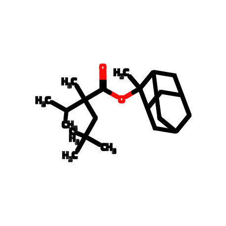 CC(C)C(C)(CC(C)(C)C)C(=O)OC1(C)C2CC3CC(C2)CC1C3